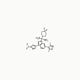 BC(B)(C1CCC(F)(F)CC1)n1cc(-c2cnn(C(F)F)c2)c2ncc(-c3c(C)noc3C)cc21